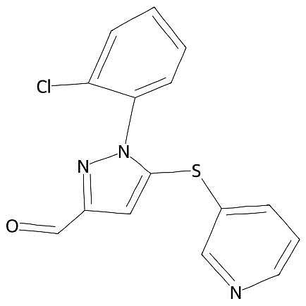 O=Cc1cc(Sc2cccnc2)n(-c2ccccc2Cl)n1